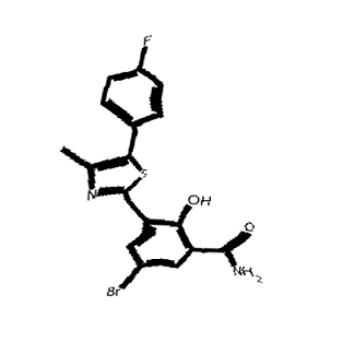 Cc1nc(-c2cc(Br)cc(C(N)=O)c2O)sc1-c1ccc(F)cc1